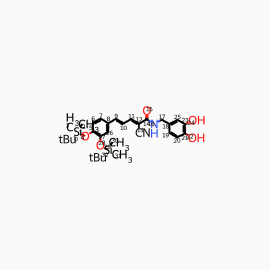 CC(C)(C)[Si](C)(C)Oc1ccc(/C=C/C=C(\C#N)C(=O)NCc2ccc(O)c(O)c2)cc1O[Si](C)(C)C(C)(C)C